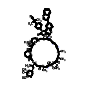 CO[C@@H]1C[C@@H](CC(C)[C@@H]2CC(=O)[C@H](C)/C=C(\C)[C@@H](O)[C@@H](OC)C(=O)[C@H](C)C[C@H](C)/C=C/C=C/C=C(/C)[C@@H](n3c(=O)n(-c4ccc(C(C)(C)C#N)cc4)c4c5cc(-c6cnc7ccccc7c6)ccc5ncc43)C[C@@H]3CC[C@@H](C)[C@@](O)(O3)C(=O)C(=O)N3CCCC[C@H]3C(=O)O2)CC[C@H]1O